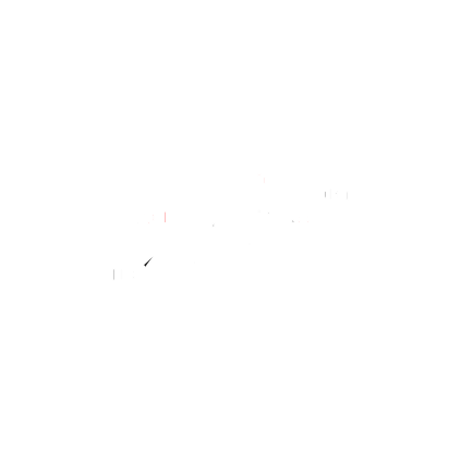 C[C@@H](O)CCCC(=O)OC(C)(C)C